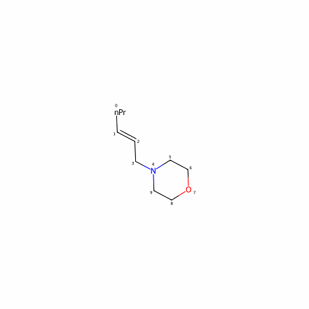 CCC/C=C/CN1CCOCC1